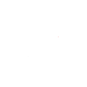 CCCC1OC(CC)C2C(O)OCC12